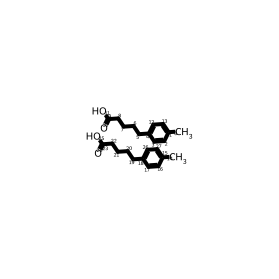 Cc1ccc(CCCCC(=O)O)cc1.Cc1ccc(CCCCC(=O)O)cc1